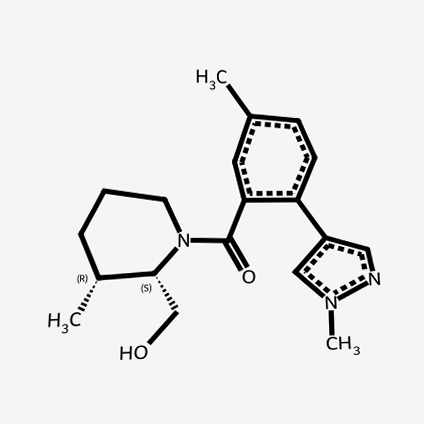 Cc1ccc(-c2cnn(C)c2)c(C(=O)N2CCC[C@@H](C)[C@H]2CO)c1